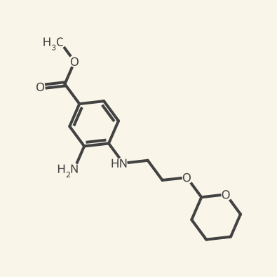 COC(=O)c1ccc(NCCOC2CCCCO2)c(N)c1